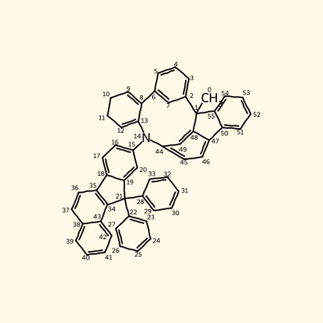 CC12c3cccc(c3)C3=CCCC=C3N(c3ccc4c(c3)C(c3ccccc3)(c3ccccc3)c3c-4ccc4ccccc34)c3ccc(c1c3)-c1ccccc12